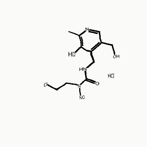 Cc1ncc(CO)c(CNC(=O)N(CCCl)N=O)c1O.Cl